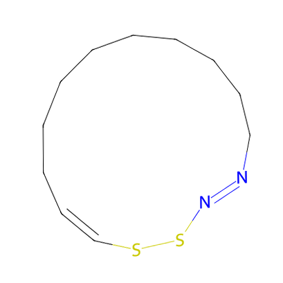 C1=C\SS/N=N/CCCCCCCCC/1